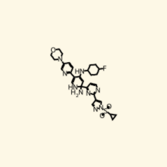 NC1(c2ccnc(-c3cnn(S(=O)(=O)C4CC4)c3)n2)C=C(NC2CCC(F)CC2)C(c2ccc(N3CCOCC3)cn2)=CN1